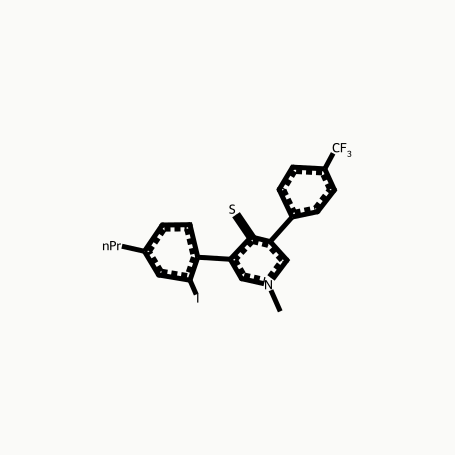 CCCc1ccc(-c2cn(C)cc(-c3ccc(C(F)(F)F)cc3)c2=S)c(I)c1